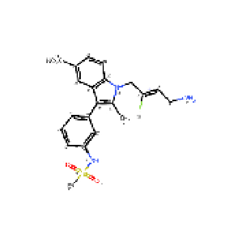 CCS(=O)(=O)Nc1cccc(-c2c(C)n(C/C(F)=C/CN)c3ccc(C(=O)O)cc23)c1